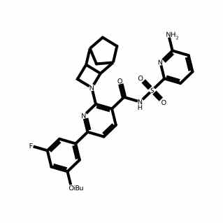 CC(C)COc1cc(F)cc(-c2ccc(C(=O)NS(=O)(=O)c3cccc(N)n3)c(N3CC4C5CCC(C5)C43)n2)c1